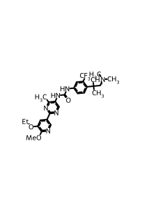 CCOc1cc(-c2ncc(NC(=O)Nc3ccc(C(C)(C)CN(C)C)c(C(F)(F)F)c3)c(C)n2)cnc1OC